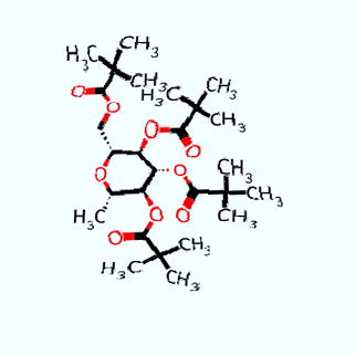 C[C@@H]1O[C@H](COC(=O)C(C)(C)C)[C@@H](OC(=O)C(C)(C)C)[C@H](OC(=O)C(C)(C)C)[C@H]1OC(=O)C(C)(C)C